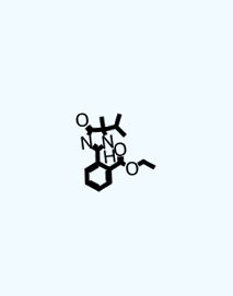 CCOC(=O)c1ccccc1C1=NC(=O)C(C)(C(C)C)N1